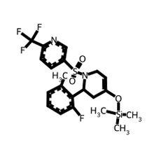 Cc1cccc(F)c1C1CC(O[Si](C)(C)C)=CCN1S(=O)(=O)c1ccc(C(F)(F)F)nc1